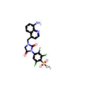 CS(=O)(=O)c1c(F)cc(N2C(=O)CN(Cc3ccnc4c(N)cccc34)C2=O)c(F)c1F